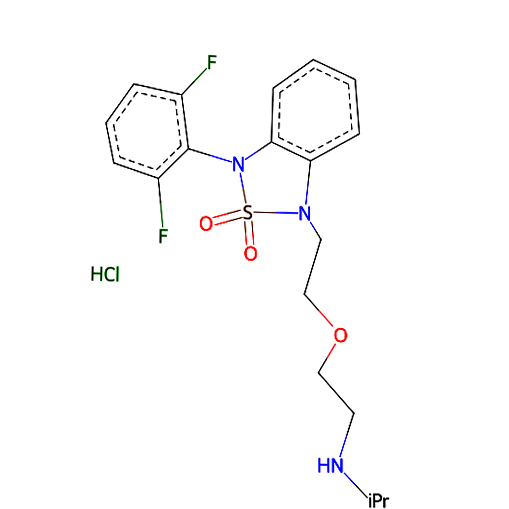 CC(C)NCCOCCN1c2ccccc2N(c2c(F)cccc2F)S1(=O)=O.Cl